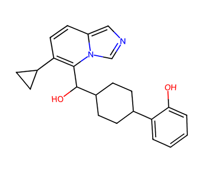 Oc1ccccc1C1CCC(C(O)c2c(C3CC3)ccc3cncn23)CC1